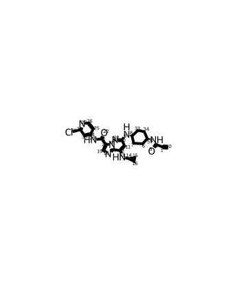 C#CC(=O)N[C@H]1CC[C@H](Nc2cc(NC3CC3)c3ncc(C(=O)Nc4ccnc(Cl)c4)n3n2)CC1